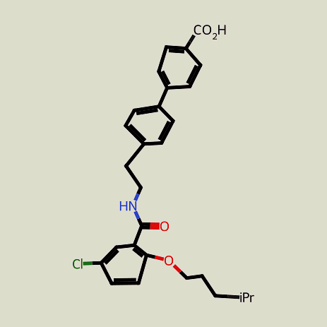 CC(C)CCCOc1ccc(Cl)cc1C(=O)NCCc1ccc(-c2ccc(C(=O)O)cc2)cc1